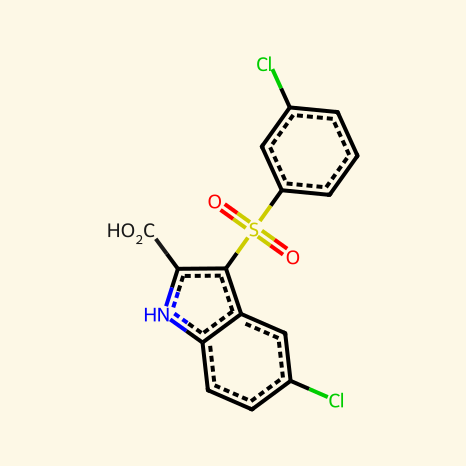 O=C(O)c1[nH]c2ccc(Cl)cc2c1S(=O)(=O)c1cccc(Cl)c1